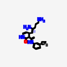 C=C(Nc1cccc(C(F)(F)F)c1)c1c(/C=C(\N)CCCN)cc[nH]c1=O